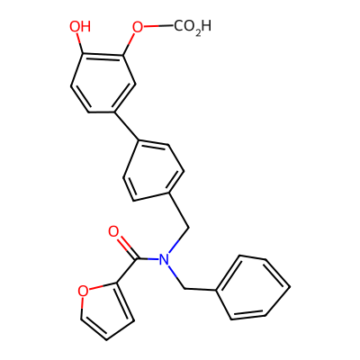 O=C(O)Oc1cc(-c2ccc(CN(Cc3ccccc3)C(=O)c3ccco3)cc2)ccc1O